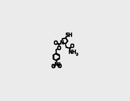 NC(=O)C[C@@H]1C[C@H](S)CN1C(=O)OCc1ccc([N+](=O)[O-])cc1